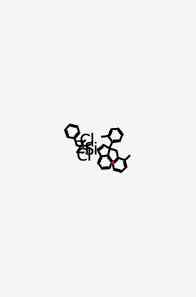 Cc1ccccc1CC1(c2ccccc2C)C=C([Si](C)(C)[Zr]([Cl])([Cl])[CH2]c2ccccc2)c2ccccc21